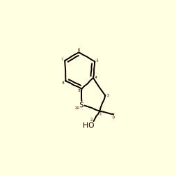 CC1(O)Cc2ccccc2S1